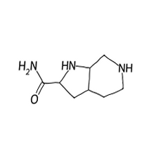 NC(=O)C1CC2CCNCC2N1